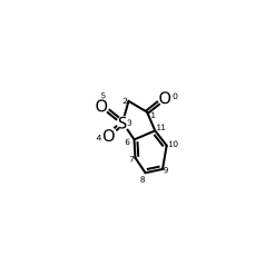 O=C1CS(=O)(=O)c2ccccc21